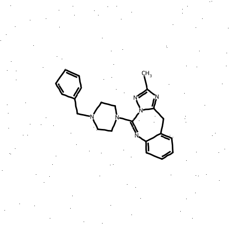 Cc1nc2n(n1)C(N1CCN(Cc3ccccc3)CC1)=Nc1ccccc1C2